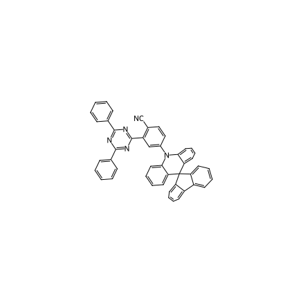 N#Cc1ccc(N2c3ccccc3C3(c4ccccc4-c4ccccc43)c3ccccc32)cc1-c1nc(-c2ccccc2)nc(-c2ccccc2)n1